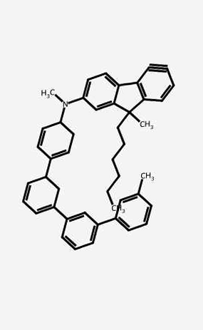 CCCCCCC1(C)c2ccc#cc2-c2ccc(N(C)C3C=CC(C4C=CC=C(c5cccc(-c6cccc(C)c6)c5)C4)=CC3)cc21